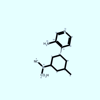 CC1CC(N(C#N)C(=O)O)C[C@H](c2ccncc2N)C1